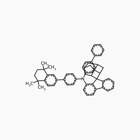 CC1(C)CCC(C)(C)c2cc(-c3ccc(N(c4ccc(-c5ccccc5)cc4)c4cccc5c4C4(c6ccccc6-5)C5CC6CC7CC4C75C6)cc3)ccc21